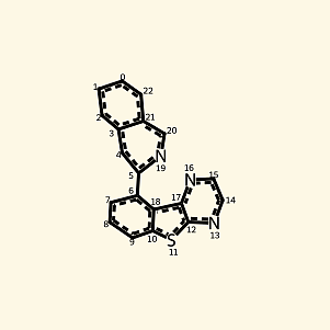 c1ccc2cc(-c3cccc4sc5nccnc5c34)ncc2c1